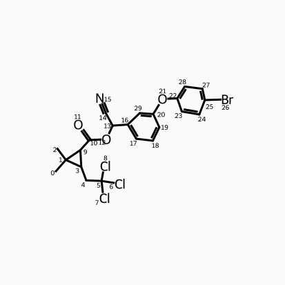 CC1(C)C(CC(Cl)(Cl)Cl)C1C(=O)OC(C#N)c1cccc(Oc2ccc(Br)cc2)c1